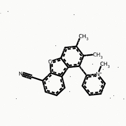 Cc1cc2oc3c(C#N)cccc3c2c(-c2cccc[n+]2C)c1C